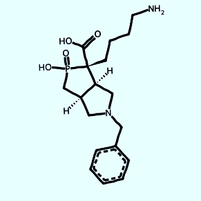 NCCCC[C@@]1(C(=O)O)[C@H]2CN(Cc3ccccc3)C[C@H]2CP1(=O)O